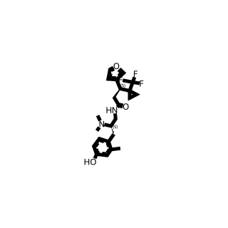 Cc1cc(O)ccc1C[C@@H](CNC(=O)C[C@@H](c1ccoc1)C1(C(F)(F)F)CC1)N(C)C